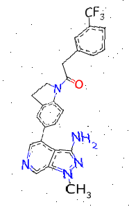 Cn1nc(N)c2c(-c3ccc4c(c3)CCN4C(=O)Cc3cccc(C(F)(F)F)c3)cncc21